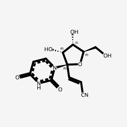 N#CC=C[C@@]1(n2ccc(=O)[nH]c2=O)O[C@H](CO)[C@@H](O)[C@H]1O